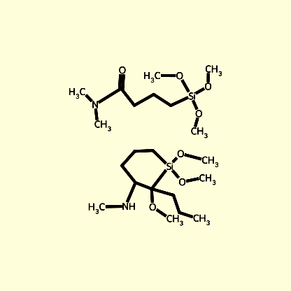 CCCC1(OC)C(NC)CCC[Si]1(OC)OC.CO[Si](CCCC(=O)N(C)C)(OC)OC